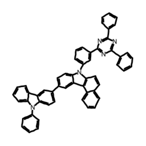 c1ccc(-c2nc(-c3ccccc3)nc(-c3cccc(-n4c5ccc(-c6ccc7c(c6)c6ccccc6n7-c6ccccc6)cc5c5c6ccccc6ccc54)c3)n2)cc1